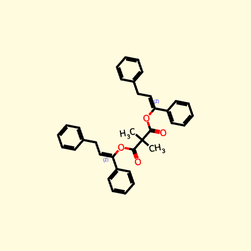 CC(C)(C(=O)O/C(=C\Cc1ccccc1)c1ccccc1)C(=O)O/C(=C\Cc1ccccc1)c1ccccc1